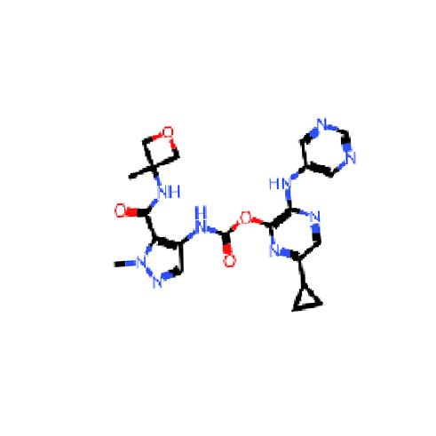 Cn1ncc(NC(=O)Oc2nc(C3CC3)cnc2Nc2cncnc2)c1C(=O)NC1(C)COC1